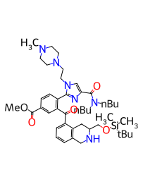 CCCCN(CCCC)C(=O)c1cn(CCN2CCN(C)CC2)c(-c2ccc(C(=O)OC)cc2C(=O)c2cccc3c2CC(CO[Si](C)(C)C(C)(C)C)NC3)n1